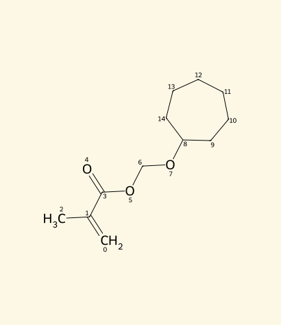 C=C(C)C(=O)OCOC1CCCCCC1